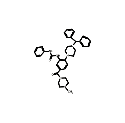 CN1CCN(C(=O)c2ccc(N3CCN(C(c4ccccc4)c4ccccc4)CC3)c(NC(=O)Nc3ccccc3)c2)CC1